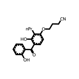 CCCc1c(OCCCC#N)ccc(C(=O)c2ccccc2O)c1O